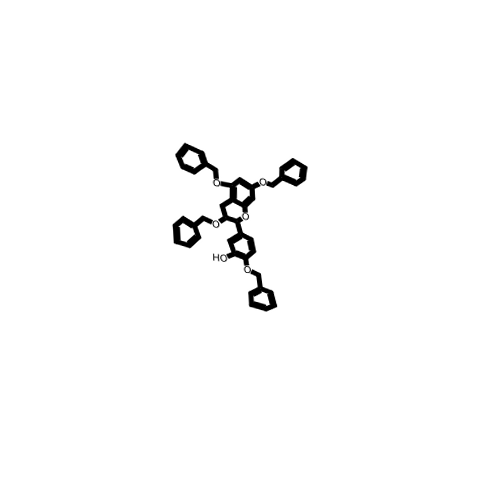 Oc1cc(C2Oc3cc(OCc4ccccc4)cc(OCc4ccccc4)c3CC2OCc2ccccc2)ccc1OCc1ccccc1